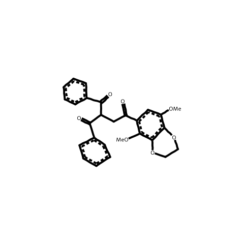 COc1cc(C(=O)CC(C(=O)c2ccccc2)C(=O)c2ccccc2)c(OC)c2c1OCCO2